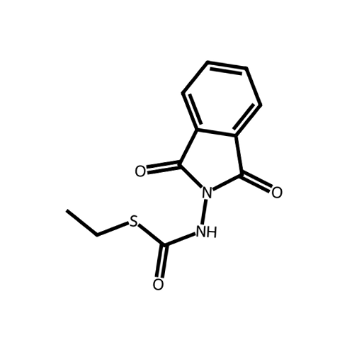 CCSC(=O)NN1C(=O)c2ccccc2C1=O